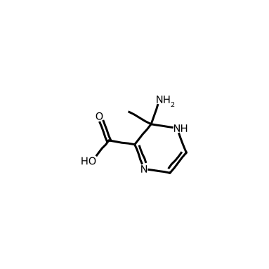 CC1(N)NC=CN=C1C(=O)O